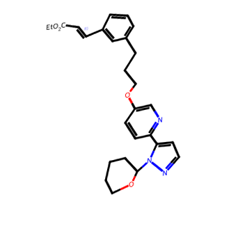 CCOC(=O)/C=C/c1cccc(CCCOc2ccc(-c3ccnn3C3CCCCO3)nc2)c1